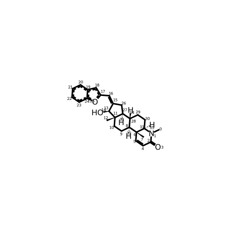 CN1C(=O)C=C[C@]2(C)[C@H]3CC[C@]4(C)[C@@H](O)/C(=C\c5cc6ccccc6o5)C[C@H]4[C@@H]3CC[C@@H]12